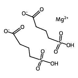 O=C([O-])CCCS(=O)(=O)O.O=C([O-])CCCS(=O)(=O)O.[Mg+2]